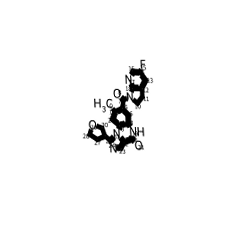 Cc1cc2c(cc1C(=O)N1CCc3cc(F)cnc31)[nH]c(=O)c1cnc(C3CCOC3)n12